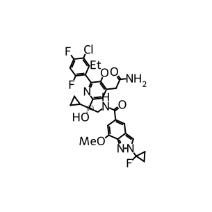 CCOc1c(CC(N)=O)cc([C@@](O)(CNC(=O)c2cc(OC)c3nn(C4(F)CC4)cc3c2)C2CC2)nc1-c1cc(Cl)c(F)cc1F